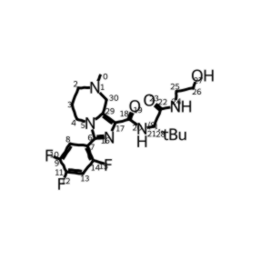 CN1CCCn2c(-c3cc(F)c(F)cc3F)nc(C(=O)N[C@H](C(=O)NCCO)C(C)(C)C)c2C1